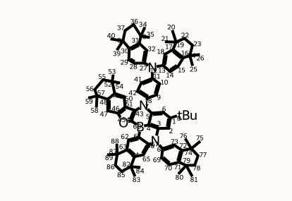 CC(C)(C)c1cc2c3c(c1)N(c1ccc(N(c4ccc5c(c4)C(C)(C)CCC5(C)C)c4ccc5c(c4)C(C)(C)CCC5(C)C)cc1)c1c(oc4cc5c(cc14)C(C)(C)CCC5(C)C)B3c1cc3c(cc1N2c1ccc2c(c1)C(C)(C)CCC2(C)C)C(C)(C)CCC3(C)C